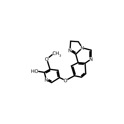 COc1cc(Oc2ccc3c(c2)C2=NCCN2C=N3)cnc1O